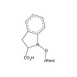 CCCCCON1c2ccccc2CC1C(=O)O